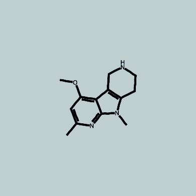 COc1cc(C)nc2c1c1c(n2C)CCNC1